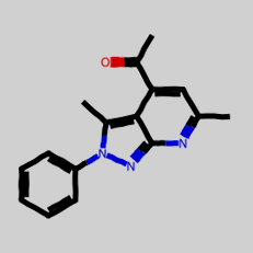 CC(=O)c1cc(C)nc2nn(-c3ccccc3)c(C)c12